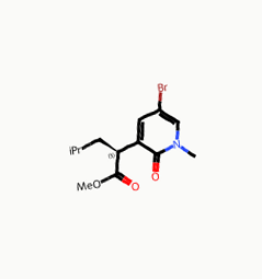 COC(=O)[C@@H](CC(C)C)c1cc(Br)cn(C)c1=O